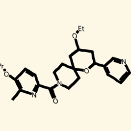 CCOC1CC(c2cccnc2)OC2(CCN(C(=O)c3ccc(OC(C)C)c(C)n3)CC2)C1